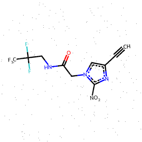 C#Cc1cn(CC(=O)NCC(F)(F)C(F)(F)F)c([N+](=O)[O-])n1